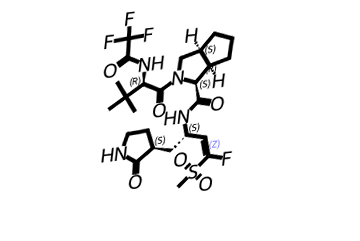 CC(C)(C)[C@@H](NC(=O)C(F)(F)F)C(=O)N1C[C@H]2CCC[C@H]2[C@H]1C(=O)N[C@H](/C=C(/F)S(C)(=O)=O)C[C@@H]1CCNC1=O